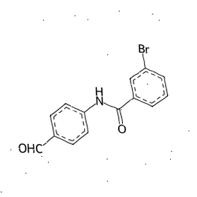 O=Cc1ccc(NC(=O)c2cccc(Br)c2)cc1